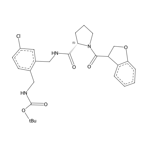 CC(C)(C)OC(=O)NCc1ccc(Cl)cc1CNC(=O)[C@@H]1CCCN1C(=O)C1COc2ccccc21